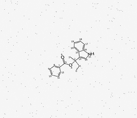 CCC(C)(OC(=O)c1ccccc1)c1c[nH]c2ccccc12